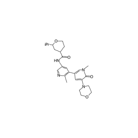 Cc1ncc(NC(=O)C2CCOC(C(C)C)C2)cc1-c1cc(N2CCOCC2)c(=O)n(C)c1